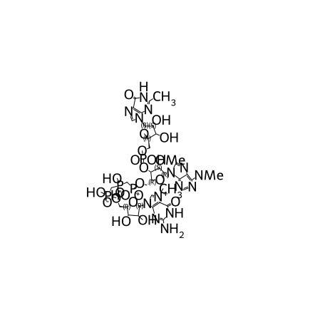 CNc1ncnc2c1ncn2[C@@H]1O[C@H](COP(=O)(O)CP(=O)(O)CP(=O)(O)OC[C@H]2O[C@@H](n3c[n+](C)c4c(=O)[nH]c(N)nc43)C(O)C2O)C(OP(=O)(O)OC[C@H]2O[C@@H](n3cnc4c(=O)[nH]c(C)nc43)[C@@H](O)C2O)[C@@H]1OC